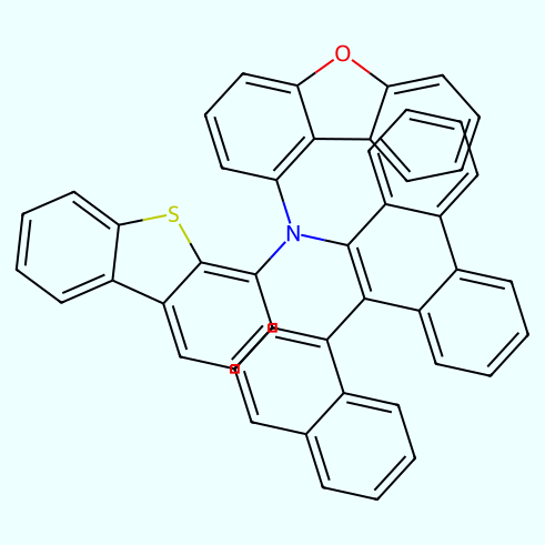 c1ccc2c(-c3c(N(c4cccc5c4sc4ccccc45)c4cccc5oc6ccccc6c45)c4ccccc4c4ccccc34)cccc2c1